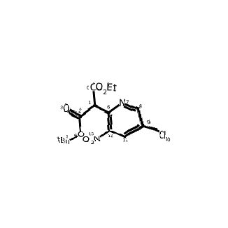 CCOC(=O)C(C(=O)OC(C)(C)C)c1ncc(Cl)cc1[N+](=O)[O-]